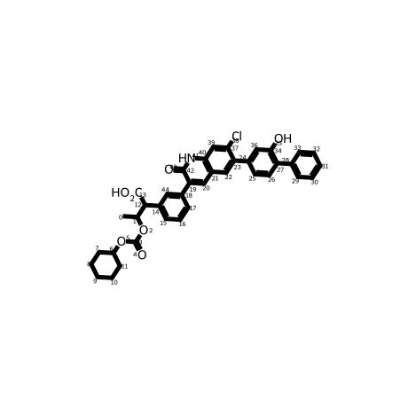 CC(OC(=O)OC1CCCCC1)C(C(=O)O)c1cccc(-c2cc3cc(-c4ccc(-c5ccccc5)c(O)c4)c(Cl)cc3[nH]c2=O)c1